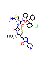 Cl.Nc1nc(/C(=N/OC(c2ccccc2)(c2ccccc2)c2ccccc2)C(=O)N[C@@H]2C(=O)N3C(C(=O)O)=C(/C=C4\CCN(C5CCNCC5)C4=O)CS[C@H]23)cs1